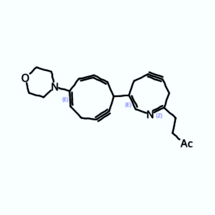 CC(=O)CC/C1=N/C=C(/C2C#CC/C=C(/N3CCOCC3)C=C=C2)CC#CC1